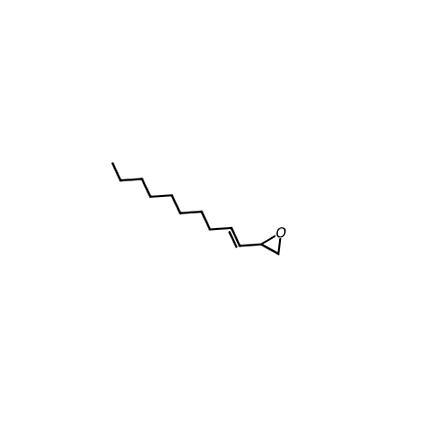 CCCCCCCCC=CC1CO1